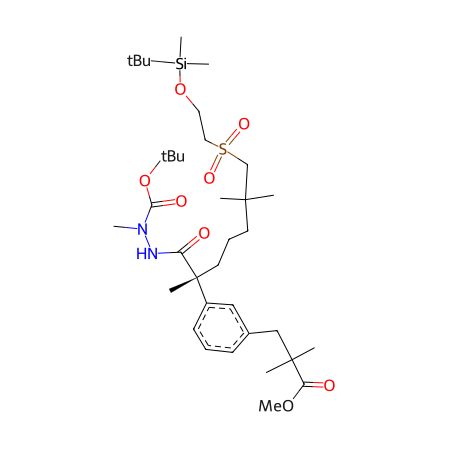 COC(=O)C(C)(C)Cc1cccc([C@@](C)(CCCC(C)(C)CS(=O)(=O)CCO[Si](C)(C)C(C)(C)C)C(=O)NN(C)C(=O)OC(C)(C)C)c1